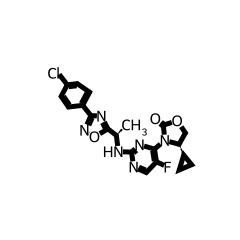 C[C@H](Nc1ncc(F)c(N2C(=O)OC[C@@H]2C2CC2)n1)c1nc(-c2ccc(Cl)cc2)no1